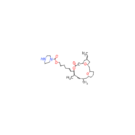 C/C=C1\CC2CC(=O)OC(/C=C/CCCCOC(=O)N3CCNCC3)C(C)/C=C/C(C)CC3CCCC(CC(C1)O2)O3